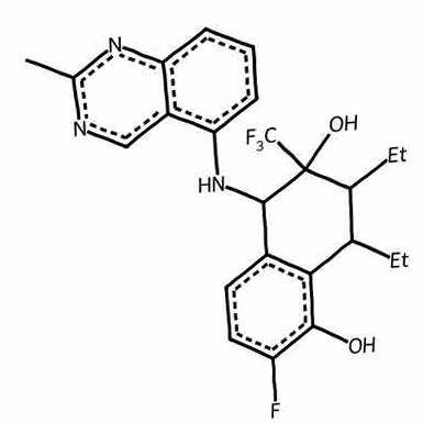 CCC1c2c(ccc(F)c2O)C(Nc2cccc3nc(C)ncc23)C(O)(C(F)(F)F)C1CC